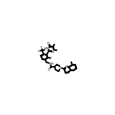 Cc1nc(-c2c(C(F)(F)F)ccc(CNC(=O)C3CCN(c4ccc5cccc(C)c5n4)CC3)c2F)[nH]c(=O)c1C